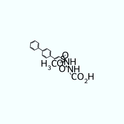 CC(=CS(=O)(=O)NC(=O)NCC(=O)O)c1ccc(-c2ccccc2)cc1